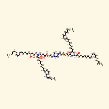 CC/C=C\C/C=C\C/C=C\CCCCCCC(O)CN(CCCCC(=O)OCCN1CCN(CCSSCCCCN(CC(O)CCCCCC/C=C\C/C=C\CCCCC)CC(O)CCCCCC/C=C\C/C=C\CCCCC)CC1)CC(O)CCCCCC/C=C\C/C=C\C/C=C\CC